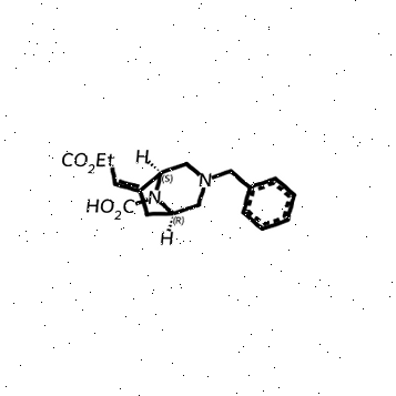 CCOC(=O)C=C1C[C@@H]2CN(Cc3ccccc3)C[C@H]1N2C(=O)O